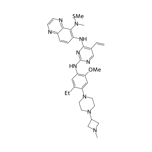 C=Cc1cnc(Nc2cc(CC)c(N3CCN(C4CN(C)C4)CC3)cc2OC)nc1Nc1ccc2nccnc2c1N(C)SC